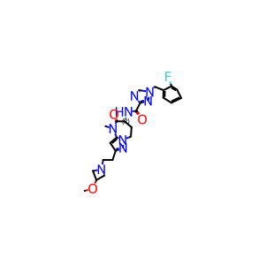 COC1CN(CCc2cc3n(n2)CC[C@@H](NC(=O)c2ncn(Cc4ccccc4F)n2)C(=O)N3C)C1